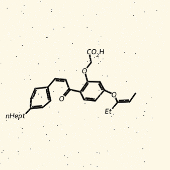 C/C=C(/CC)Oc1ccc(C(=O)/C=C\c2ccc(CCCCCCC)cc2)c(OCC(=O)O)c1